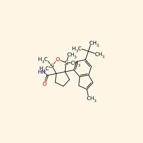 CC1=Cc2cc(C(C)(C)C)cc(C34CCCC3(C([NH])=O)[Si](C)(C)O[Si]4(C)C)c2C1